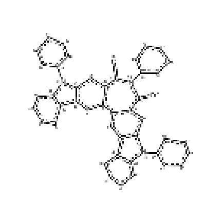 O=c1c2cc3c(cc2c2cc4c5ccccc5n(-c5ccccc5)c4cc2c(=O)n1-c1ccccc1)c1ccccc1n3-c1ccccc1